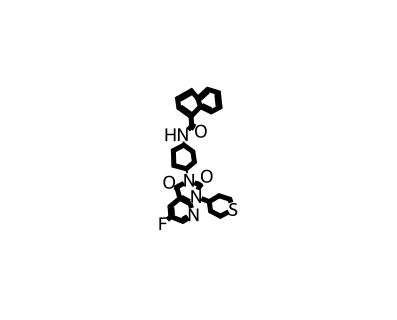 O=C(N[C@H]1CC[C@@H](n2c(=O)c3cc(F)cnc3n(C3CCSCC3)c2=O)CC1)c1cccc2ccccc12